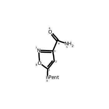 CCCCCc1cc(C(N)=O)no1